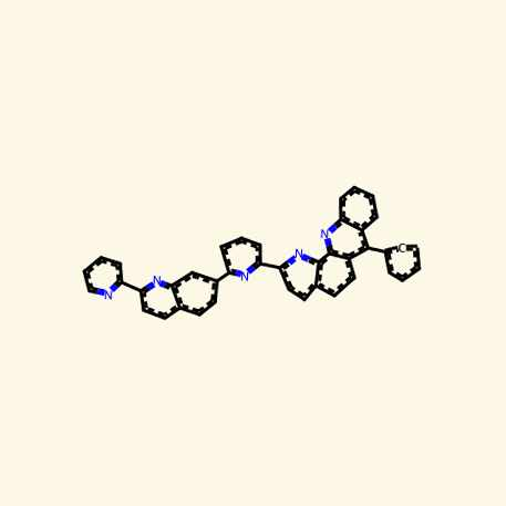 c1ccc(-c2c3ccccc3nc3c2ccc2ccc(-c4cccc(-c5ccc6ccc(-c7ccccn7)nc6c5)n4)nc23)cc1